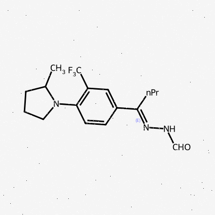 CCC/C(=N\NC=O)c1ccc(N2CCCC2C)c(C(F)(F)F)c1